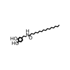 CCCCCCCCCCCCCCCC(=O)NCCc1ccc(O)c(O)c1